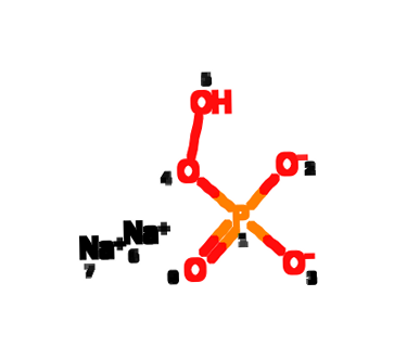 O=P([O-])([O-])OO.[Na+].[Na+]